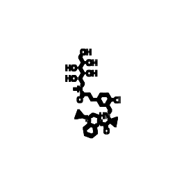 CN(C[C@H](O)[C@@H](O)[C@H](O)[C@H](O)CO)C(=O)CCc1ccc(Cl)c(CNC2(C(=O)N3CCN(C4CC4)c4ccccc43)CC2)c1